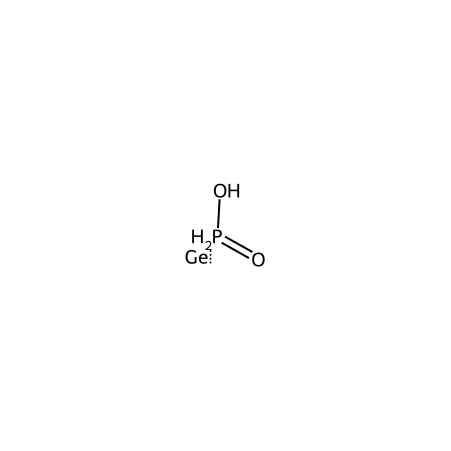 O=[PH2]O.[Ge]